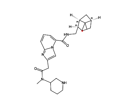 CN(C(=O)Cc1cn2c(C(=O)NC[C@@H]3CC[C@@H]4C[C@H]3C4(C)C)cccc2n1)C1CCCNC1